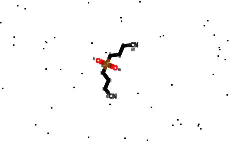 N#CCCCS(=O)(=O)CCCC#N